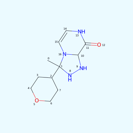 CC1(C2CCOCC2)NNC2C(=O)NC=CN21